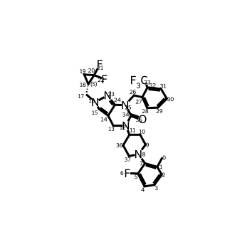 Cc1cccc(F)c1N1CCC(N2Cc3cn(C[C@@H]4CC4(F)F)nc3N(Cc3ccccc3C(F)(F)F)C2=O)CC1